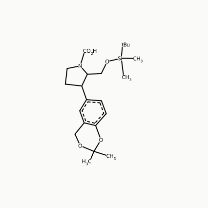 CC1(C)OCc2cc(C3CCN(C(=O)O)C3CO[Si](C)(C)C(C)(C)C)ccc2O1